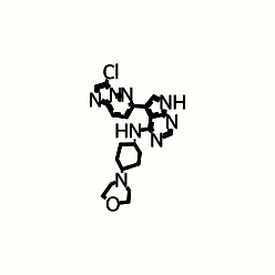 Clc1cnc2ccc(-c3c[nH]c4ncnc(N[C@H]5CC[C@H](N6CCOCC6)CC5)c34)nn12